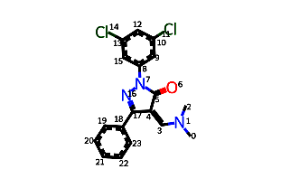 CN(C)C=C1C(=O)N(c2cc(Cl)cc(Cl)c2)N=C1c1ccccc1